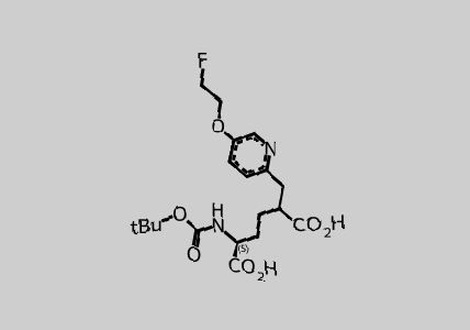 CC(C)(C)OC(=O)N[C@@H](CCC(Cc1ccc(OCCF)cn1)C(=O)O)C(=O)O